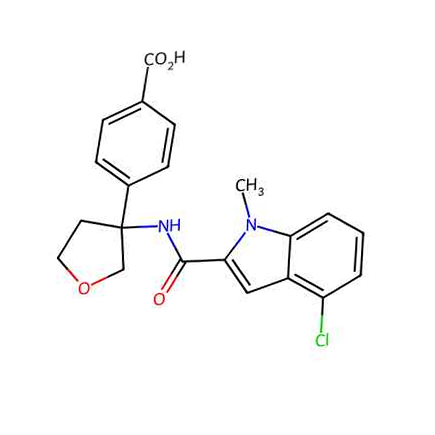 Cn1c(C(=O)NC2(c3ccc(C(=O)O)cc3)CCOC2)cc2c(Cl)cccc21